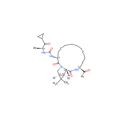 CC(=O)C(=O)[C@@H]1CCCCCCCCC[C@H](NC(=O)N[C@H](C(=O)C2CC2)C(C)C)C(=O)N2C[C@H]3[C@@H]([C@H]2C(=O)N1)C3(C)C